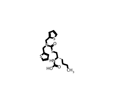 CCCC[C@@H](CSC(=O)N(Cc1cccs1)Cc1cccs1)NC(=O)O